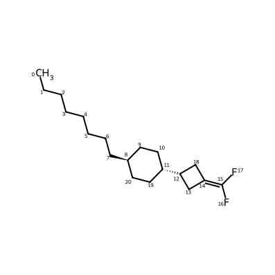 CCCCCCCC[C@H]1CC[C@H](C2CC(=C(F)F)C2)CC1